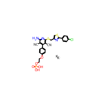 N#Cc1c(N)nc(SCc2csc(-c3ccc(Cl)cc3)n2)c(C#N)c1-c1ccc(OCCOP(=O)(O)O)cc1.[K].[K]